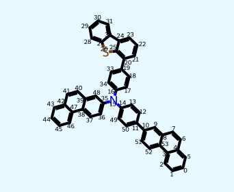 c1ccc2c(c1)ccc1cc(-c3ccc(N(c4ccc(-c5cccc6c5sc5ccccc56)cc4)c4ccc5c(ccc6ccccc65)c4)cc3)ccc12